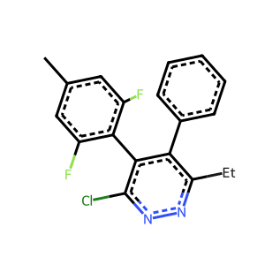 CCc1nnc(Cl)c(-c2c(F)cc(C)cc2F)c1-c1ccccc1